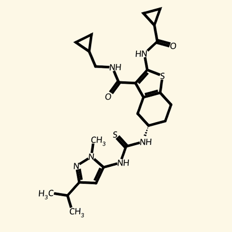 CC(C)c1cc(NC(=S)N[C@H]2CCc3sc(NC(=O)C4CC4)c(C(=O)NCC4CC4)c3C2)n(C)n1